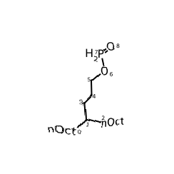 CCCCCCCCC(CCCCCCCC)CCCO[PH2]=O